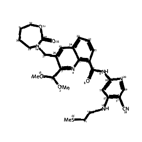 COC(OC)c1nc2c(C(=O)Nc3cc(NCCSC)c(C#N)cn3)cccc2cc1CN1CCCCOC1=O